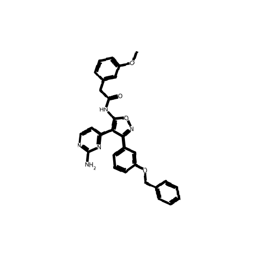 COc1cccc(CC(=O)Nc2onc(-c3cccc(OCc4ccccc4)c3)c2-c2ccnc(N)n2)c1